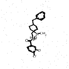 CN(C)C1(CNC(=O)c2ccc(Cl)c(Cl)c2)CCC(Cc2ccccc2)CC1